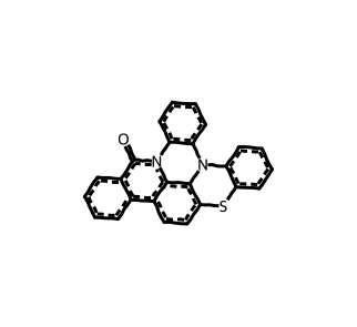 O=c1c2ccccc2c2ccc3c4c2n1-c1ccccc1N4c1ccccc1S3